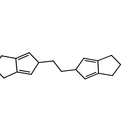 C1=C2CCCC2=CC1CCC1C=C2CCCC2=C1